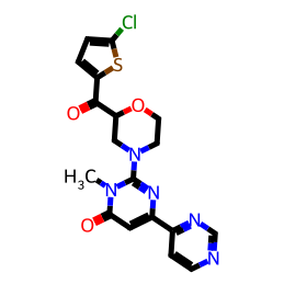 Cn1c(N2CCOC(C(=O)c3ccc(Cl)s3)C2)nc(-c2ccncn2)cc1=O